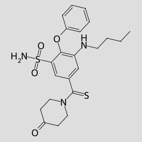 CCCCNc1cc(C(=S)N2CCC(=O)CC2)cc(S(N)(=O)=O)c1Oc1ccccc1